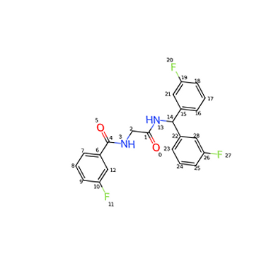 O=C(CNC(=O)c1cccc(F)c1)NC(c1cccc(F)c1)c1cccc(F)c1